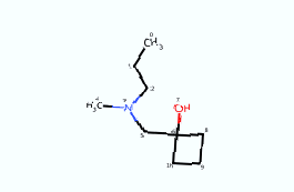 CCCN(C)CC1(O)CCC1